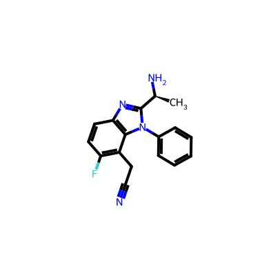 C[C@H](N)c1nc2ccc(F)c(CC#N)c2n1-c1ccccc1